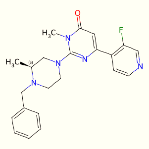 C[C@H]1CN(c2nc(-c3ccncc3F)cc(=O)n2C)CCN1Cc1ccccc1